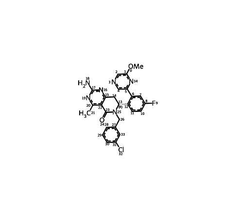 COc1cncc(-c2cc(F)ccc2[C@H]2Cc3nc(N)nc(C)c3C(=O)N2Cc2cccc(Cl)c2)n1